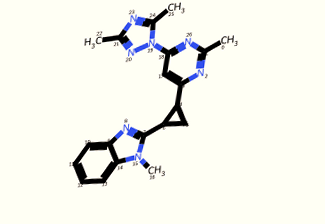 Cc1nc(C2CC2c2nc3ccccc3n2C)cc(-n2nc(C)nc2C)n1